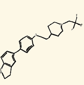 O=S1(=O)CCc2cc(-c3ccc(OCC4CCN(CC(F)(F)F)CC4)cc3)ccc21